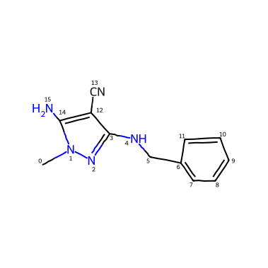 Cn1nc(NCc2ccccc2)c(C#N)c1N